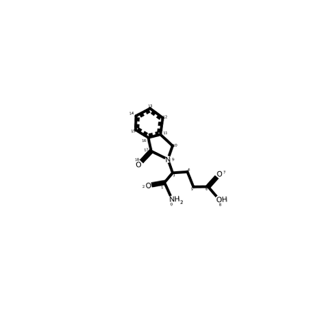 NC(=O)C(CCC(=O)O)N1Cc2ccccc2C1=O